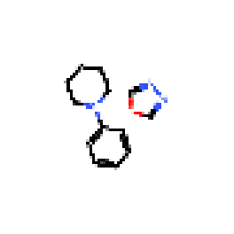 c1ccc(N2CCCCC2)cc1.c1nnco1